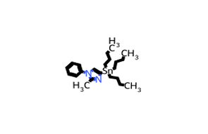 CCC[CH2][Sn]([CH2]CCC)([CH2]CCC)[c]1cn(-c2ccccc2)c(C)n1